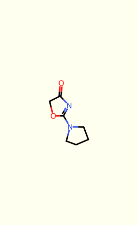 O=C1COC(N2CCCC2)=N1